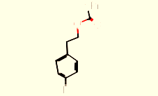 CCCC(=O)OCCc1ccc(CC)cc1